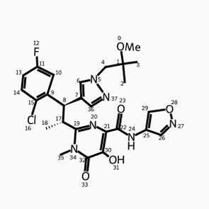 COC(C)(C)Cn1cc([C@H](c2cc(F)ccc2Cl)[C@@H](C)c2nc(C(=O)Nc3cnoc3)c(O)c(=O)n2C)cn1